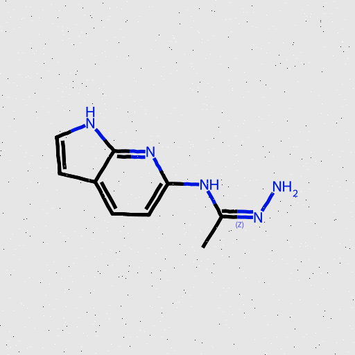 C/C(=N/N)Nc1ccc2cc[nH]c2n1